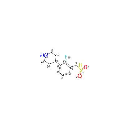 O=[SH](=O)Cc1cccc(C2CCNCC2)c1F